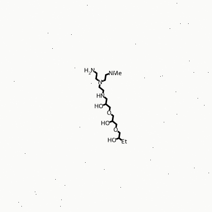 CCC(O)COCC(O)COCC(O)CNCCN(CCN)CCNC